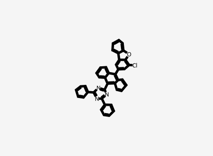 Clc1cc(-c2c3ccccc3c(-c3nc(-c4ccccc4)nc(-c4ccccc4)n3)c3ccccc23)cc2c1oc1ccccc12